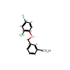 O=C(O)c1cccc(COc2ccc(F)cc2Cl)c1